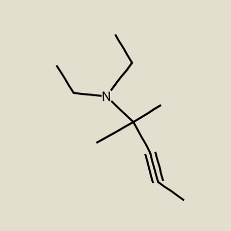 CC#CC(C)(C)N(CC)CC